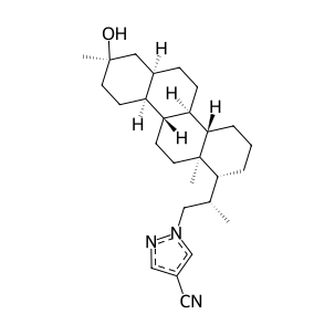 C[C@H](Cn1cc(C#N)cn1)[C@H]1CCC[C@H]2[C@@H]3CC[C@@H]4C[C@](C)(O)CC[C@@H]4[C@H]3CC[C@]12C